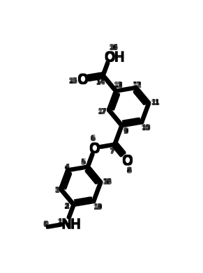 CNc1ccc(OC(=O)c2cccc(C(=O)O)c2)cc1